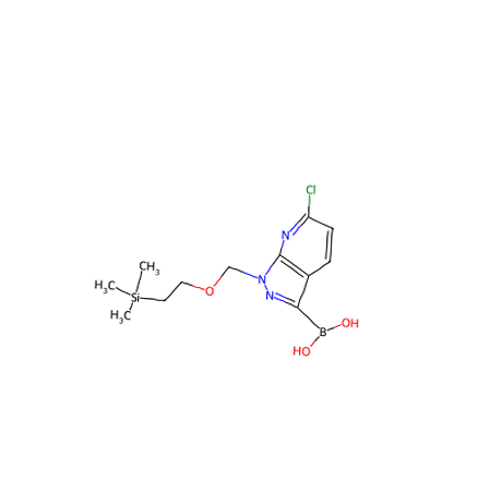 C[Si](C)(C)CCOCn1nc(B(O)O)c2ccc(Cl)nc21